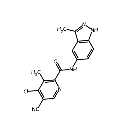 Cc1c(C(=O)Nc2ccc3[nH]nc(C)c3c2)ncc(C#N)c1Cl